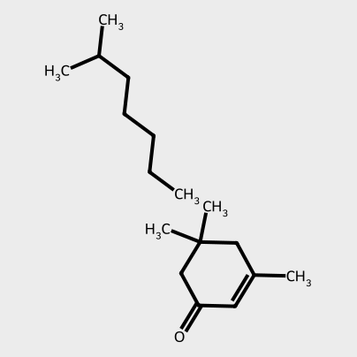 CC1=CC(=O)CC(C)(C)C1.CCCCCC(C)C